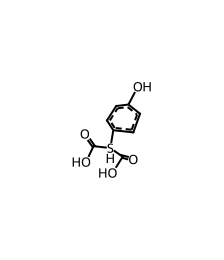 O=C(O)[SH](C(=O)O)c1ccc(O)cc1